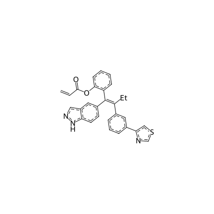 C=CC(=O)Oc1ccccc1/C(=C(\CC)c1cccc(-c2cscn2)c1)c1ccc2[nH]ncc2c1